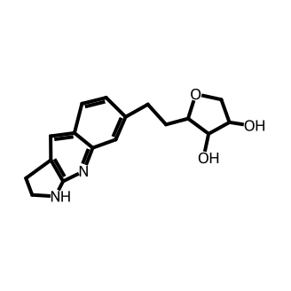 OC1COC(CCc2ccc3cc4c(nc3c2)NCC4)C1O